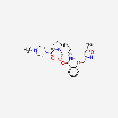 CC(C)C[C@@H](NC(=O)c1ccccc1OCc1cc(C(C)(C)C)on1)C(=O)N1CCC[C@@H]1C(=O)N1CCN(C)CC1